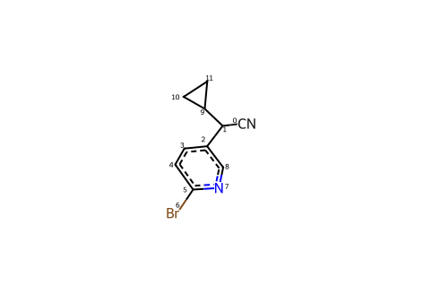 N#CC(c1ccc(Br)nc1)C1CC1